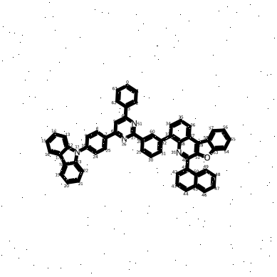 c1ccc(-c2cc(-c3ccc(-n4c5ccccc5c5ccccc54)cc3)nc(-c3cccc(-c4cccc5c4nc(-c4cccc6ccccc46)c4oc6ccccc6c45)c3)n2)cc1